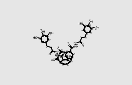 CC(C)(C)c1cc(CCC(=O)NNC(=N)c2c(C(=O)O)c3ccc2c(=O)[nH]c(=O)c2ccc3cc2C(=O)NNC(=O)CCc2cc(C(C)(C)C)c(O)c(C(C)(C)C)c2)cc(C(C)(C)C)c1O